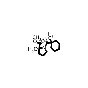 COC(=O)[C@]1(C)CCCN1C(=O)C1(C)CCCCC1